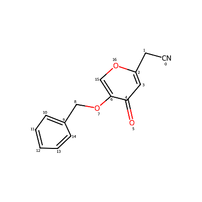 N#CCc1cc(=O)c(OCc2ccccc2)co1